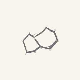 [CH]1CCCN2CCC=CC12